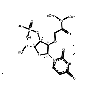 CCCCCCCCCCN(CCCCCCCCCC)C(=O)CO[C@@H]1[C@H](OP(=O)(O)O)[C@@H](CO)O[C@H]1n1ccc(=O)[nH]c1=O